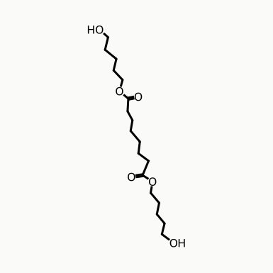 O=C(CCCCCCC(=O)OCCCCCO)OCCCCCO